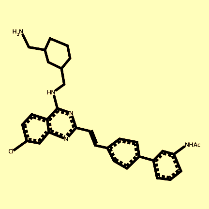 CC(=O)Nc1cccc(-c2ccc(C=Cc3nc(NCC4CCCC(CN)C4)c4ccc(Cl)cc4n3)cc2)c1